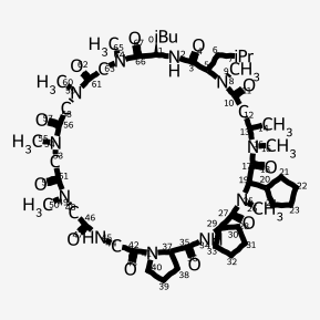 CC[C@H](C)C1NC(=O)C(CC(C)C)N(C)C(=O)CC(C)N(C)C(=O)C(C2CCCC2)N(C)C(=O)C2(CCCC2)NC(=O)C2CCCN2C(=O)CNC(=O)CN(C)C(=O)CN(C)C(=O)CN(C)C(=O)CN(C)C1=O